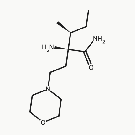 CC[C@H](C)[C@@](N)(CCN1CCOCC1)C(N)=O